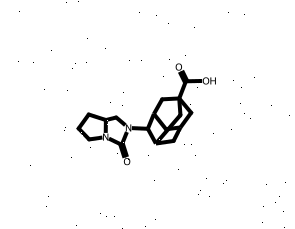 O=C1N2CCCC2CN1C1C2CC3CC1CC(C(=O)O)(C3)C2